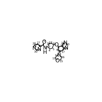 O=C(NC1CCC(Oc2cc(N3CCOCC3)cc3ncncc23)CC1)c1ccncn1